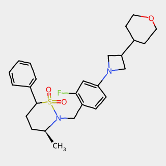 C[C@H]1CCC(c2ccccc2)S(=O)(=O)N1Cc1ccc(N2CC(C3CCOCC3)C2)cc1F